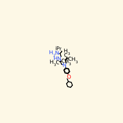 CC(C)=CCN(CC(C)(C)NC[C@@H](N)CC(C)C)c1ccc(OCC2CCCCC2)cc1